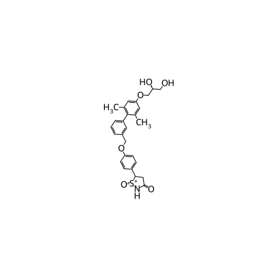 Cc1cc(OC[C@@H](O)CO)cc(C)c1-c1cccc(COc2ccc(C3CC(=O)N[S+]3[O-])cc2)c1